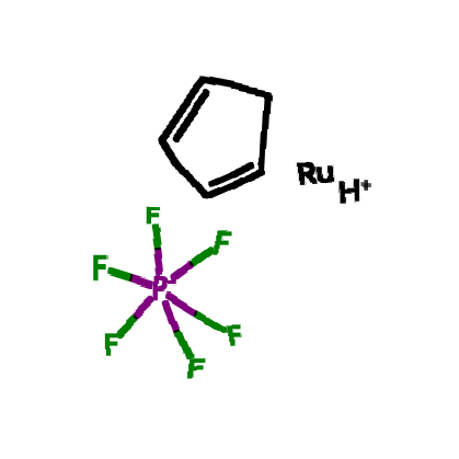 C1=CCC=C1.F[P-](F)(F)(F)(F)F.[H+].[Ru]